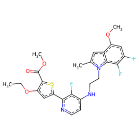 CCOc1cc(-c2nccc(NCCn3c(C)cc4c(OC)cc(F)c(F)c43)c2F)sc1C(=O)OC